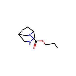 CCCOC(=O)N1CC2CCC1CNC2